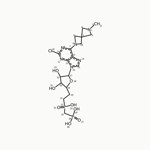 CN1CC2(C1)CN(c1nc(Cl)nc3c1ncn3C1OC(CCP(=O)(O)CP(=O)(O)O)C(O)C1O)C2